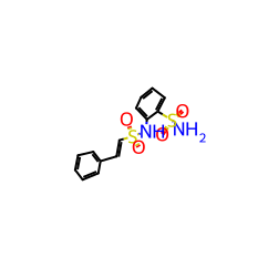 NS(=O)(=O)c1ccccc1NS(=O)(=O)/C=C/c1ccccc1